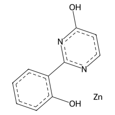 Oc1ccnc(-c2ccccc2O)n1.[Zn]